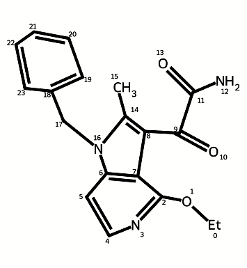 CCOc1nccc2c1c(C(=O)C(N)=O)c(C)n2Cc1ccccc1